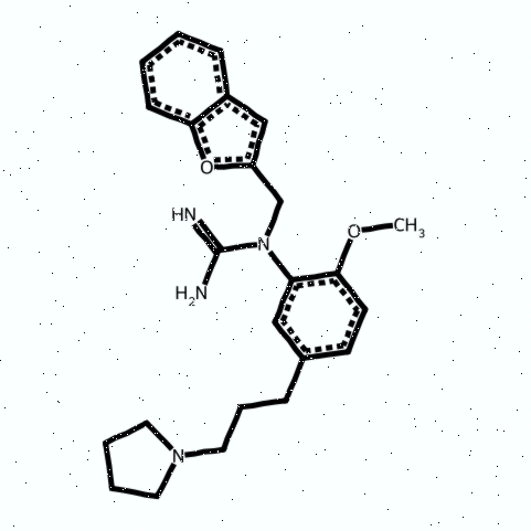 COc1ccc(CCCN2CCCC2)cc1N(Cc1cc2ccccc2o1)C(=N)N